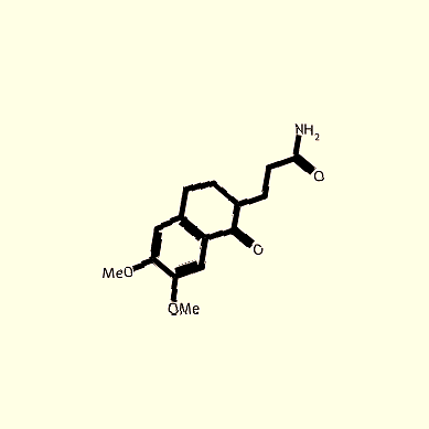 COc1cc2c(cc1OC)C(=O)C(CCC(N)=O)CC2